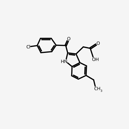 CCc1ccc2[nH]c(C(=O)c3ccc(Cl)cc3)c(CC(=O)O)c2c1